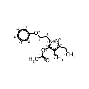 CCc1nn(CCOc2ccccc2)c(OC(C)=O)c1C